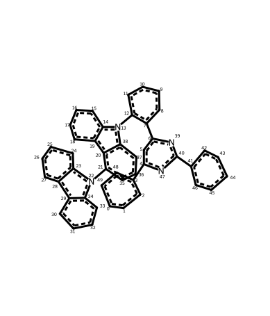 c1ccc(-c2cc(-c3ccccc3-n3c4ccccc4c4c(-n5c6ccccc6c6ccccc65)cccc43)nc(-c3ccccc3)n2)cc1